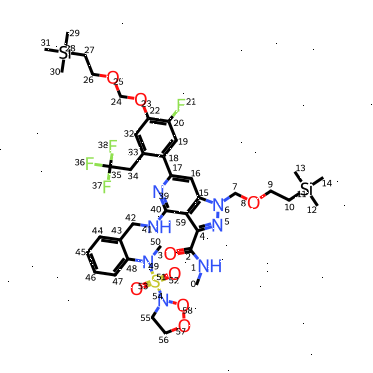 CNC(=O)c1nn(COCC[Si](C)(C)C)c2cc(-c3cc(F)c(OCOCC[Si](C)(C)C)cc3CC(F)(F)F)nc(NCc3ccccc3N(C)S(=O)(=O)N3CCOO3)c12